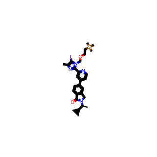 Cc1nc(-c2cc(-c3ccc4c(c3)CN([C@@H](C)C3CC3)C4=O)ccn2)n(COCCS(C)(C)C)c1I